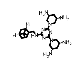 CC1(C)[C@H]2CCC(CNc3nc(N4C[C@H](N)C[C@H](N)C4)nc(N4C[C@H](N)C[C@H](N)C4)n3)[C@@H]1C2